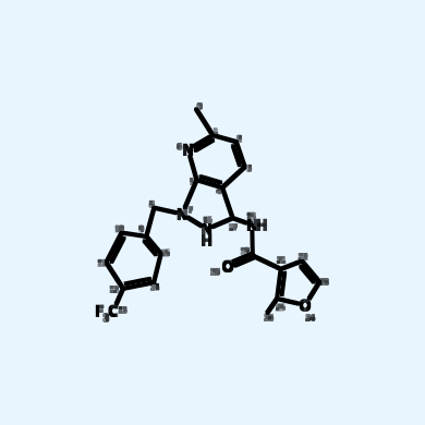 Cc1ccc2c(n1)N(Cc1ccc(C(F)(F)F)cc1)NC2NC(=O)c1ccoc1C